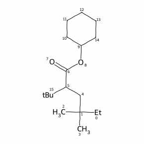 CCC(C)(C)CC(C(=O)OC1CCCCC1)C(C)(C)C